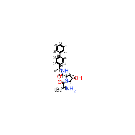 C[C@H](NC(=O)[C@@H]1C[C@@H](O)CN1C(=O)[C@@H](N)C(C)(C)C)c1ccc(-c2ccccc2)cc1